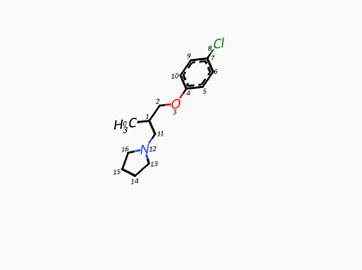 CC(COc1ccc(Cl)cc1)CN1CCCC1